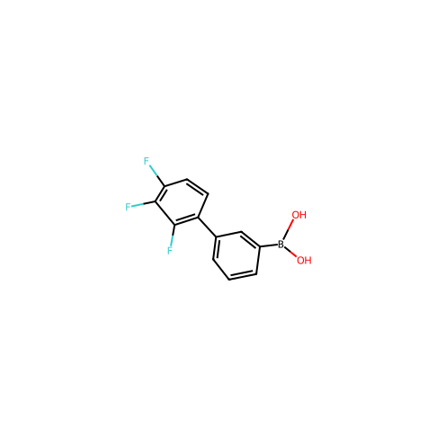 OB(O)c1cccc(-c2ccc(F)c(F)c2F)c1